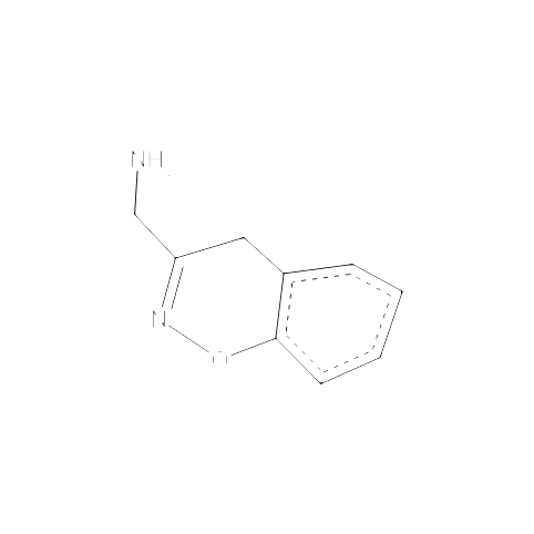 NCC1=NOc2ccccc2C1